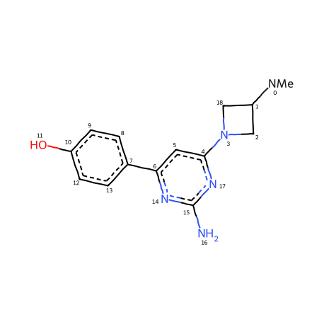 CNC1CN(c2cc(-c3ccc(O)cc3)nc(N)n2)C1